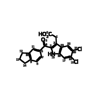 O=C(O)Cc1c(C(=O)c2ccc3c(c2)CCC3)[nH]c2cc(Cl)c(Cl)cc12